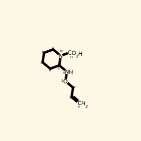 C=CCONC1CCCCN1C(=O)O